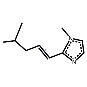 CC(C)C/C=C/c1nccn1C